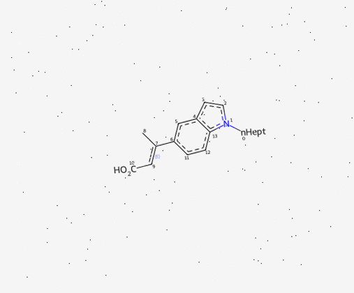 CCCCCCCn1ccc2cc(/C(C)=C/C(=O)O)ccc21